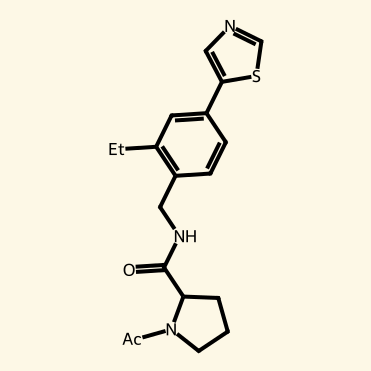 CCc1cc(-c2cncs2)ccc1CNC(=O)C1CCCN1C(C)=O